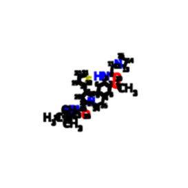 COc1cc2c(cc1NC(=O)CN1CCC1)-c1c(-c3cccs3)cc(C(=O)NCC(C)(C)C)n1CC2